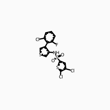 O=S(=O)(Nc1cscc1-c1c(F)cccc1Cl)c1cc(Cl)c(Cl)s1